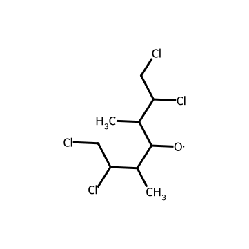 CC(C(Cl)CCl)C([O])C(C)C(Cl)CCl